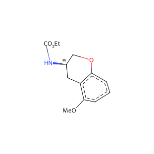 CCOC(=O)N[C@H]1COc2cccc(OC)c2C1